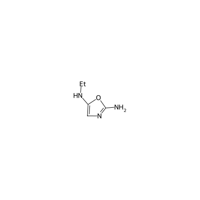 CCNc1cnc(N)o1